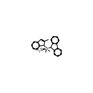 CC1=Cc2ccccc2[CH]1[Zr]([CH3])([CH3])(=[SiH2])[CH]1c2ccccc2-c2ccccc21